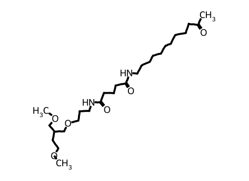 COCCC(COC)COCCCNC(=O)CCCC(=O)NCCCCCCCCCCC(C)=O